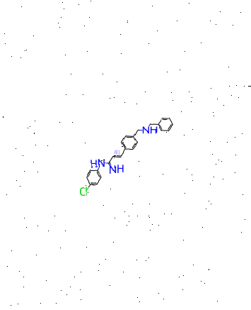 N=C(/C=C/c1ccc(CNCc2ccccc2)cc1)Nc1ccc(Cl)cc1